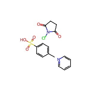 Cc1ccc(S(=O)(=O)O)cc1.O=C1CCC(=O)N1Cl.c1ccncc1